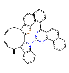 C=C1/C=C\C=C/Cc2c(sc3ccccc23)-c2c1c1ccccc1n2-c1nc(-c2ccccc2)c2ccc3ccccc3c2n1